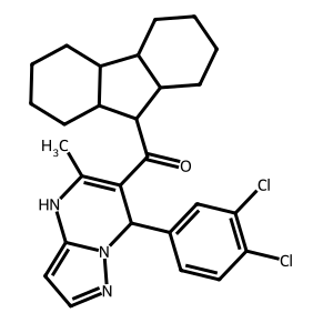 CC1=C(C(=O)C2C3CCCCC3C3CCCCC32)C(c2ccc(Cl)c(Cl)c2)n2nccc2N1